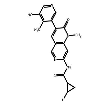 Cc1c(C#N)cncc1-c1cc2cnc(NC(=O)C3CC3F)cc2n(C)c1=O